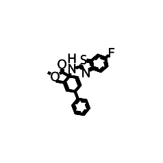 COC(=O)C1(Nc2nc3ccc(F)cc3s2)C=CC(c2ccccc2)C=C1C